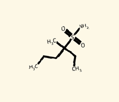 CCCC(C)(CC)S(N)(=O)=O